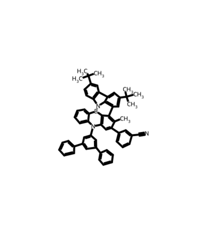 Cc1c(-c2cccc(C#N)c2)cc2c3c1-c1cc(C(C)(C)C)cc4c5cc(C(C)(C)C)ccc5n(c14)B3c1ccccc1N2c1cc(-c2ccccc2)cc(-c2ccccc2)c1